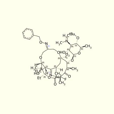 CC[C@H]1OC(=O)[C@@](C)(F)C(=O)[C@H](C)[C@@H](O[C@@H]2O[C@H](C)[C@@H](OC(C)(C)C)[C@H](N(C)C)[C@H]2O)[C@@]2(C)C[C@@H](C)/C(=N\C(C)=O)[C@H](C)[C@@H](OC/C(=N\OCc3ccccc3)CO2)[C@]1(C)O